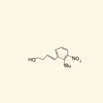 CC(C)(C)c1c(C=CCCO)cccc1[N+](=O)[O-]